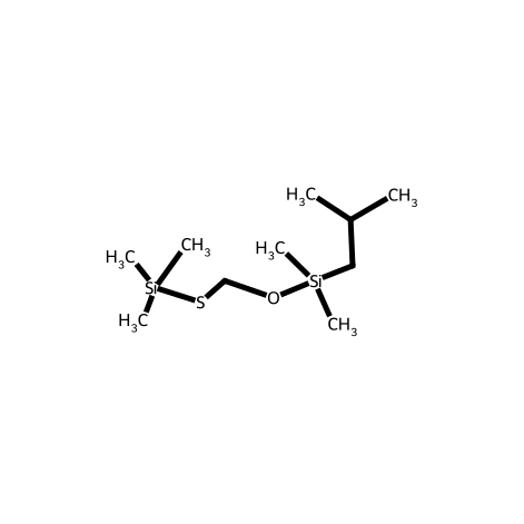 CC(C)C[Si](C)(C)OCS[Si](C)(C)C